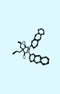 C=CCC1(CC=C)C(=O)N(c2ccc3cc4ccccc4cc3c2)N(c2ccc3cc4ccccc4cc3c2)C1=O